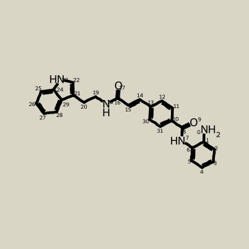 Nc1ccccc1NC(=O)c1ccc(C=CC(=O)NCCc2c[nH]c3ccccc23)cc1